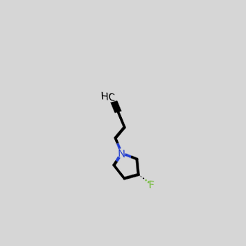 C#CCCN1CC[C@@H](F)C1